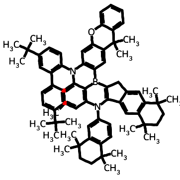 Cc1cc2c3c(c1)N(c1ccc(C(C)(C)C)cc1-c1ccc(C(C)(C)C)cc1)c1cc4c(cc1B3C1=C(c3cc5c(cc3C1)C(C)(C)CCC5(C)C)N2c1ccc2c(c1)C(C)(C)CCC2(C)C)C(C)(C)c1ccccc1O4